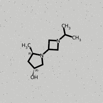 CC(C)N1CC(N2C[C@H](O)C[C@H]2C)C1